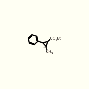 CCOC(=O)C1C(c2ccccc2)[C@@H]1C